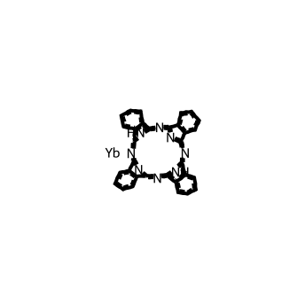 [Yb].c1ccc2c(c1)-c1nc-2nc2[nH]c(nc3nc(nc4[nH]c(n1)c1ccccc41)-c1ccccc1-3)c1ccccc21